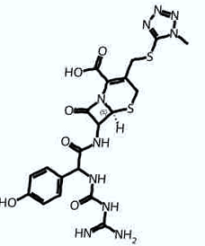 Cn1nnnc1SCC1=C(C(=O)O)N2C(=O)C(NC(=O)C(NC(=O)NC(=N)N)c3ccc(O)cc3)[C@@H]2SC1